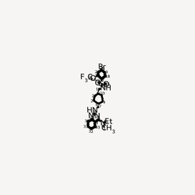 CCN(C)c1nc(NC[C@H]2CC[C@H](CNS(=O)(=O)c3ccc(Br)cc3OC(F)(F)F)CC2)nc2ccccc12